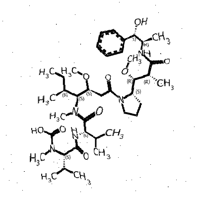 CC[C@H](C)[C@@H]([C@H](CC(=O)N1CCC[C@H]1[C@H](OC)[C@@H](C)C(=O)N[C@H](C)[C@@H](O)c1ccccc1)OC)N(C)C(=O)[C@@H](NC(=O)[C@H](C(C)C)N(C)C(=O)O)C(C)C